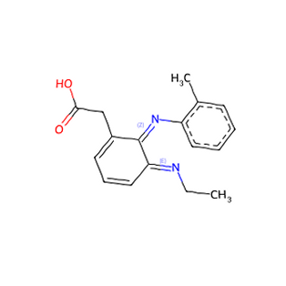 CC/N=C1\C=CC=C(CC(=O)O)\C1=N\c1ccccc1C